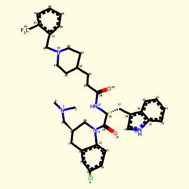 CN(C)C[C@@H]1Cc2cc(Cl)ccc2N(C(=O)[C@@H](Cc2c[nH]c3ccccc23)NC(=O)CCC2CCN(Cc3ccccc3C(F)(F)F)CC2)C1